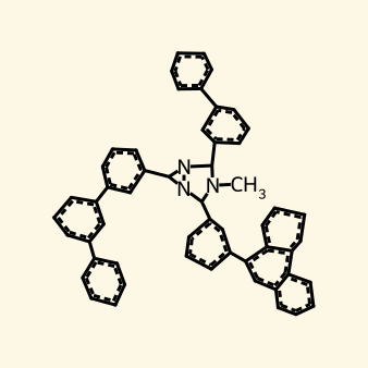 CN1C(c2cccc(-c3ccccc3)c2)N2C(c3cccc(-c4cccc(-c5ccccc5)c4)c3)N2C1c1cccc(-c2cc3ccccc3c3ccccc23)c1